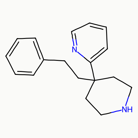 c1ccc(CCC2(c3ccccn3)CCNCC2)cc1